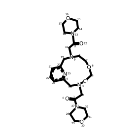 O=C(CN1CCOCCN(CC(=O)N2CCOCC2)Cc2cccc(n2)C1)N1CCOCC1